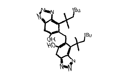 CC(C)(C)CC(C)(C)C1=C2N=NN=C2CC(O)=C1CC1=C(O)CC2=NN=NC2=C1C(C)(C)CC(C)(C)C